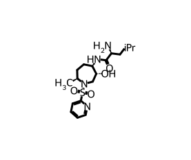 CC(C)C[C@H](N)C(=O)N[C@@H]1CC[C@H](C)N(S(=O)(=O)c2ccccn2)C[C@H]1O